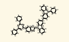 c1ccc(-c2nc(-c3ccccc3)nc(-c3ccc4nc(-n5c6ccccc6c6cc(-c7ccc8c(c7)c7ccccc7n8-c7ccccc7)ccc65)oc4c3)n2)cc1